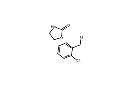 FC(F)(F)c1ccccc1CCl.O=C1NCCO1